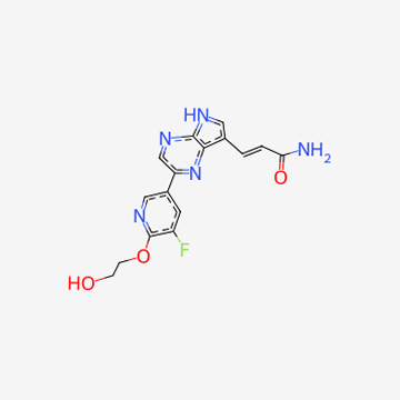 NC(=O)/C=C/c1c[nH]c2ncc(-c3cnc(OCCO)c(F)c3)nc12